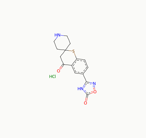 Cl.O=C1CC2(CCNCC2)Sc2ccc(-c3noc(=O)[nH]3)cc21